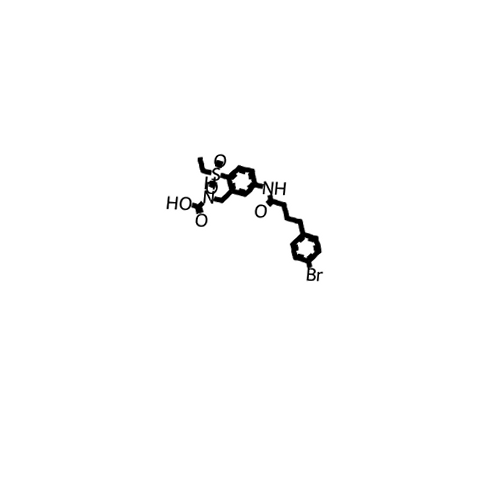 CCS(=O)(=O)c1ccc(NC(=O)CCCc2ccc(Br)cc2)cc1CNC(=O)O